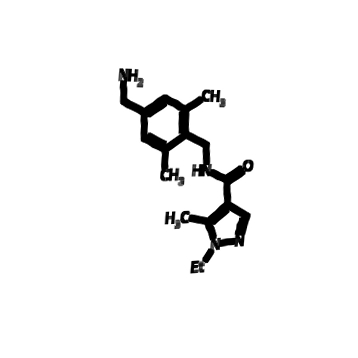 CCn1ncc(C(=O)NCc2c(C)cc(CN)cc2C)c1C